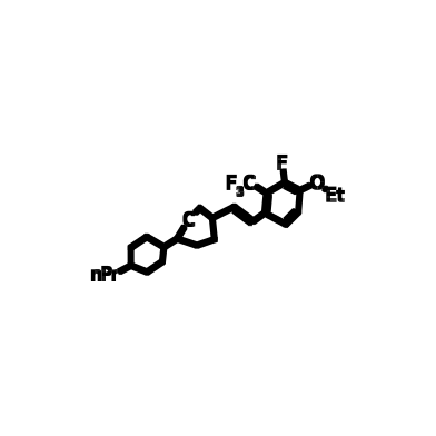 CCCC1CCC(C2CCC(C=Cc3ccc(OCC)c(F)c3C(F)(F)F)CC2)CC1